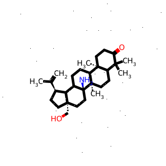 C=C(C)[C@@H]1CC[C@]2(CO)CC[C@]3(N)C(CCC4[C@@]5(C)CCC(=O)C(C)(C)C5CC[C@]43C)C12